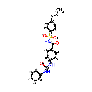 CCCc1ccc(S(=O)(=O)NC(=O)c2ccc(NC(=O)Nc3ccccc3)cc2)cc1